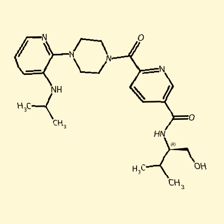 CC(C)Nc1cccnc1N1CCN(C(=O)c2ccc(C(=O)N[C@@H](CO)C(C)C)cn2)CC1